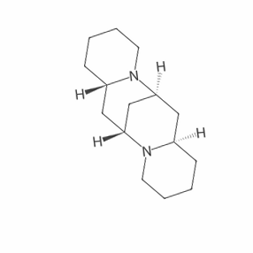 C1CCN2[C@H]3C[C@H](C[C@H]2C1)N1CCCC[C@H]1C3